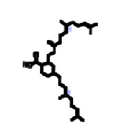 C=C(CC/C=C(\C)CCC=C(C)C)CCC1C=C(CC/C=C(\C)CCC=C(C)C)CCC1C(=O)O